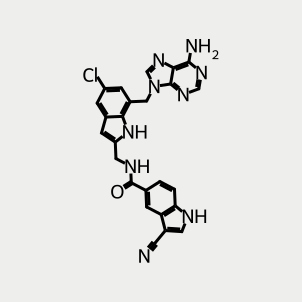 N#Cc1c[nH]c2ccc(C(=O)NCc3cc4cc(Cl)cc(Cn5cnc6c(N)ncnc65)c4[nH]3)cc12